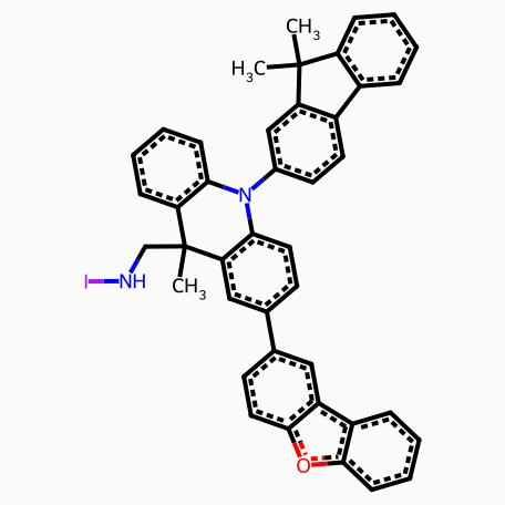 CC1(C)c2ccccc2-c2ccc(N3c4ccccc4C(C)(CNI)c4cc(-c5ccc6oc7ccccc7c6c5)ccc43)cc21